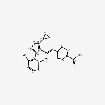 O=C(O)N1CCC(C=Cc2c(-c3c(Cl)cccc3Cl)noc2C2CC2)CC1